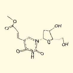 COC(=O)/C=C/c1cn([C@@H]2CC(O)[C@H](CO)O2)c(=O)[nH]c1=O